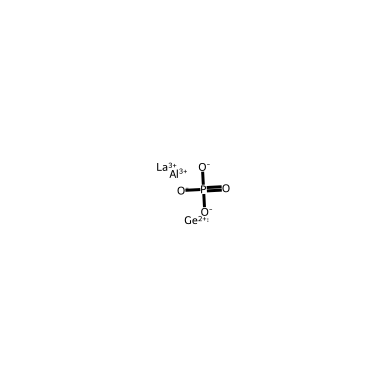 O=P([O-])([O-])[O-].[Al+3].[Ge+2].[La+3]